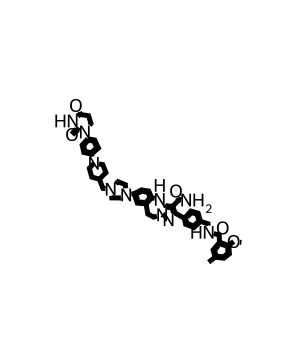 COc1ccc(C)cc1C(=O)NCc1ccc(-c2nn3c(c2C(N)=O)Nc2ccc(N4CCN(CC5CCN(c6ccc(N7CCC(=O)NC7=O)cc6)CC5)CC4)cc2CC3)cc1